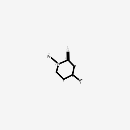 CC(C)C1CCN(C(C)C)C(=O)C1